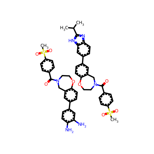 CC(C)c1nc2ccc(-c3ccc4c(c3)CN(C(=O)c3ccc(S(C)(=O)=O)cc3)CCO4)cc2[nH]1.CS(=O)(=O)c1ccc(C(=O)N2CCOc3ccc(-c4ccc(N)c(N)c4)cc3C2)cc1